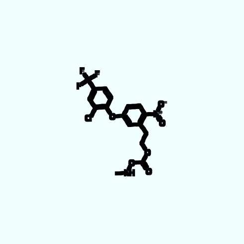 CNOC(=O)OCCc1cc(Oc2ccc(C(F)(F)F)cc2Cl)ccc1[N+](=O)[O-]